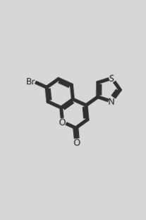 O=c1cc(-c2cscn2)c2ccc(Br)cc2o1